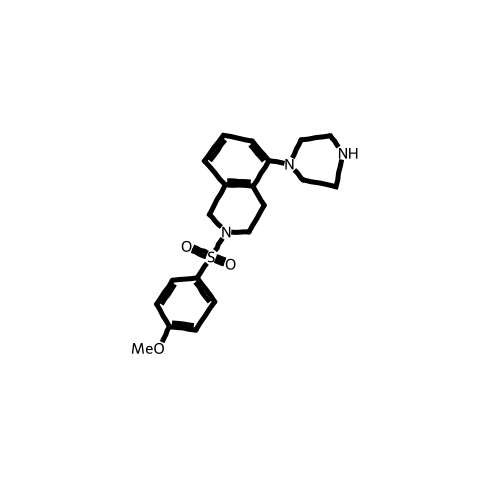 COc1ccc(S(=O)(=O)N2CCc3c(cccc3N3CCNCC3)C2)cc1